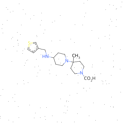 CC1(N2CCC(NCc3ccsc3)CC2)CCN(C(=O)O)CC1